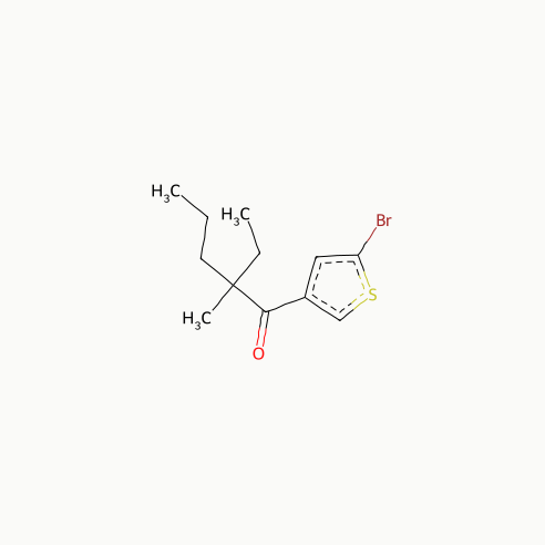 CCCC(C)(CC)C(=O)c1csc(Br)c1